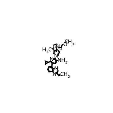 C=Cc1cnc2c(-c3cc(N)c(N4CCN(C(=O)CCOC)[C@H](C(C)C)C4)nc3C3CC3)cccc2n1